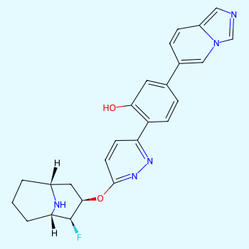 Oc1cc(-c2ccc3cncn3c2)ccc1-c1ccc(O[C@@H]2C[C@H]3CCC[C@H](N3)[C@@H]2F)nn1